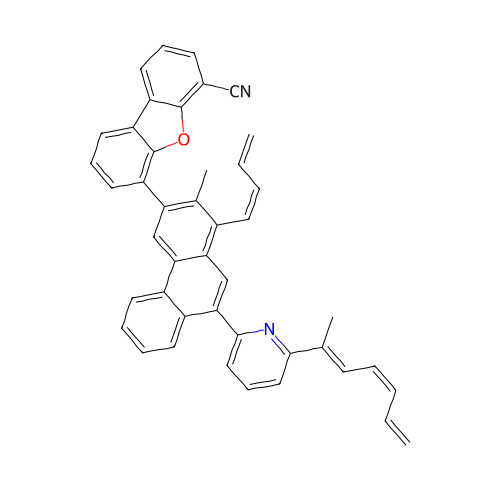 C=C/C=C\C=C(/C)c1cccc(-c2cc3c(/C=C\C=C)c(C)c(-c4cccc5c4oc4c(C#N)cccc45)cc3c3ccccc23)n1